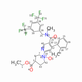 CCOC(=O)C1CC[N+]([O-])(c2cc(-c3ccccc3C)c(C(=O)N(C)Cc3cc(C(F)(F)F)cc(C(F)(F)F)c3)cn2)CC1